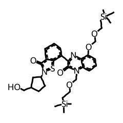 C[Si](C)(C)CCOCOc1cccc2c1nc(-c1cccc3c(=O)n(C4CCC(CO)C4)sc13)c(=O)n2COCC[Si](C)(C)C